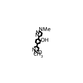 CNc1ccc(-c2ccc(-c3cnn(C)c(=O)c3)cc2O)nn1